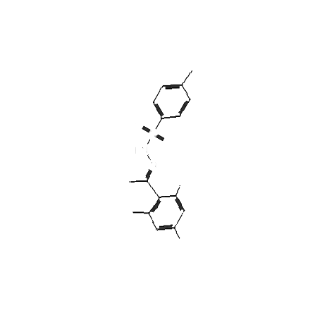 Cc1ccc(S(=O)(=O)N/N=C(\Cl)c2c(F)cc(Cl)cc2F)cc1